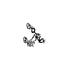 N=C(NCCCn1c(-c2ccc(N3CCOCC3)cc2)csc1=Nc1ccc(F)cc1)N1CCOCC1